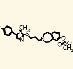 Cn1c(-c2ccc(F)cc2)cnc1SCCCN1CCc2ccc(OS(C)(=O)=O)cc2CC1